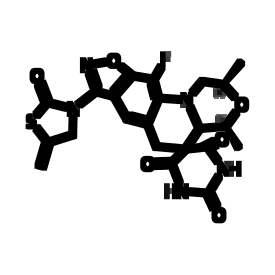 C=C1CN(c2noc3c(F)c4c(cc23)CC2(C(=O)NC(=O)NC2=O)C2[C@H](C)O[C@H](C)CN42)C(=O)S1